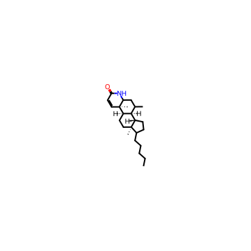 CCCCCC1CC[C@H]2[C@@H]3C(C)CC4NC(=O)C=C[C@]4(C)[C@@H]3CC[C@]12C